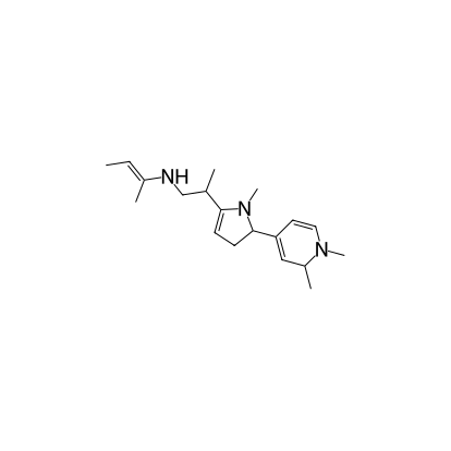 C/C=C(\C)NCC(C)C1=CCC(C2=CC(C)N(C)C=C2)N1C